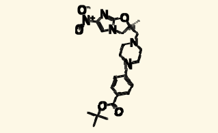 CC(C)(C)OC(=O)c1ccc(N2CCN(C[C@@]3(C)Cn4cc([N+](=O)[O-])nc4O3)CC2)cc1